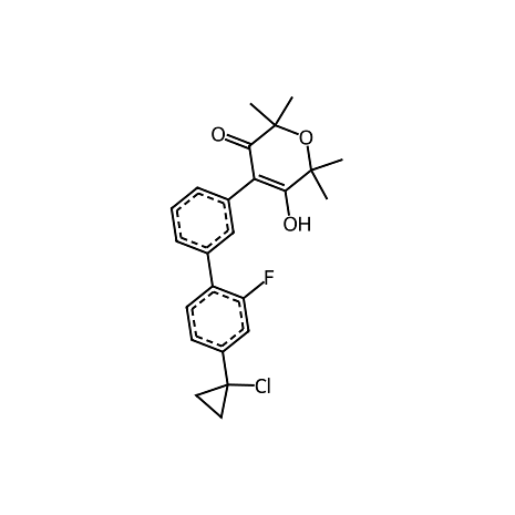 CC1(C)OC(C)(C)C(O)=C(c2cccc(-c3ccc(C4(Cl)CC4)cc3F)c2)C1=O